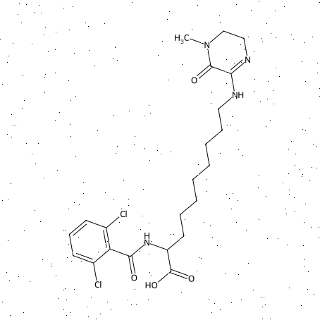 CN1CCN=C(NCCCCCCCCC(NC(=O)c2c(Cl)cccc2Cl)C(=O)O)C1=O